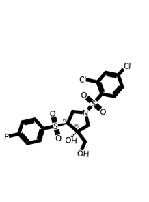 O=S(=O)(c1ccc(F)cc1)[C@H]1CN(S(=O)(=O)c2ccc(Cl)cc2Cl)C[C@@]1(O)CO